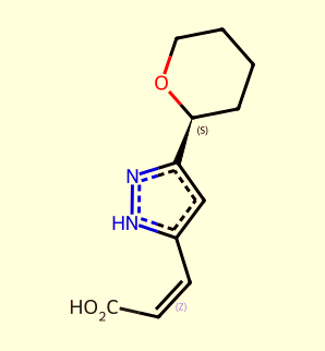 O=C(O)/C=C\c1cc([C@@H]2CCCCO2)n[nH]1